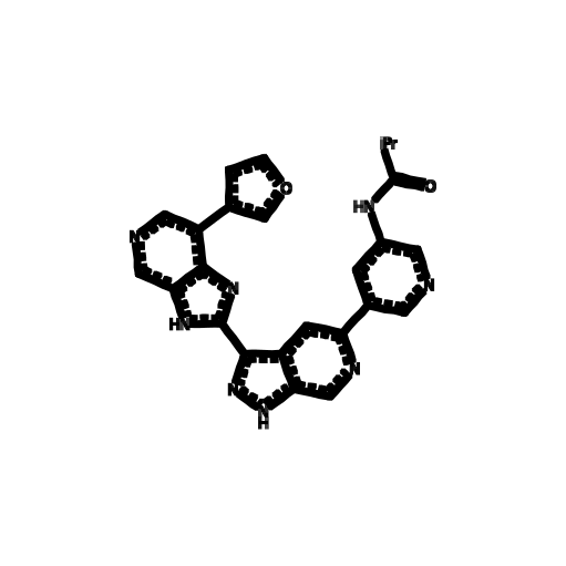 CC(C)C(=O)Nc1cncc(-c2cc3c(-c4nc5c(-c6ccoc6)cncc5[nH]4)n[nH]c3cn2)c1